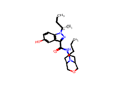 CCCCN1C2COCC1CC(NC(=O)c1nn([C@@H](C)CC)c3ccc(O)cc13)C2